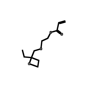 C=CC(=O)OCCOCC1(CC)CCO1